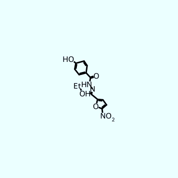 CCO.O=C(N/N=C/c1ccc([N+](=O)[O-])o1)c1ccc(O)cc1